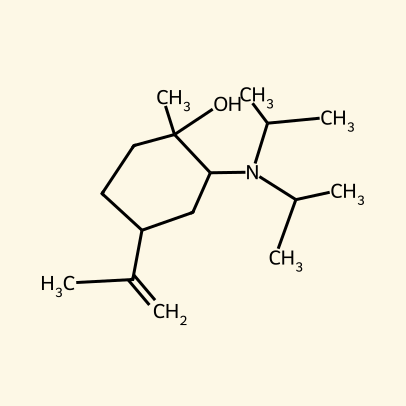 C=C(C)C1CCC(C)(O)C(N(C(C)C)C(C)C)C1